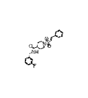 O=C(NCc1cccc(F)c1)C1CCN(S(=O)(=O)/C=C/c2ccccc2)CC1